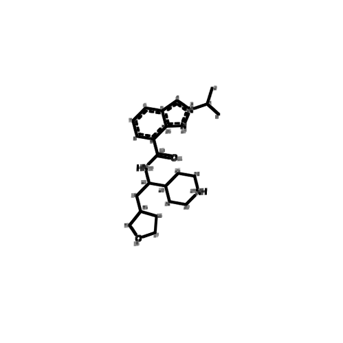 CC(C)n1cc2cccc(C(=O)NC(CC3CCOC3)C3CCNCC3)c2n1